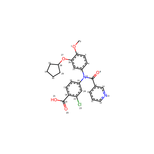 COc1ccc(N(C(=O)c2cccnc2)c2ccc(C(=O)O)c(Cl)c2)cc1OC1CCCC1